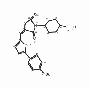 CCCCc1ccc(-c2ccc(C=C3SC(=S)N(C4CCC(C(=O)O)CC4)C3=O)o2)cc1